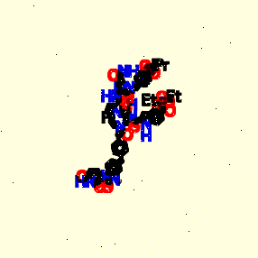 CCOP(=O)(OCC)C(=O)c1ccc2[nH]c(C(=O)N[C@H]3CN(C(=O)C[C@H]4CC[C@@H](Cc5ccc6c(c5)n(C)c(=O)n6C5CCC(=O)NC5=O)CC4)CC[C@H]4CC[C@@H](C(=O)N[C@@H](CCC(N)=O)C(=O)NCc5ccc(S(=O)(=O)C(C)C)cc5)N4C3=O)cc2c1